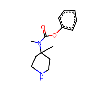 CN(C(=O)Oc1ccccc1)C1(C)CCNCC1